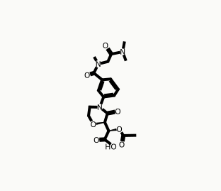 CC(=O)O[C@@H](C(=O)O)[C@H]1OCCN(c2cccc(C(=O)N(C)CC(=O)N(C)C)c2)C1=O